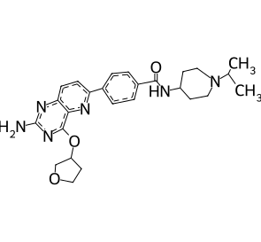 CC(C)N1CCC(NC(=O)c2ccc(-c3ccc4nc(N)nc(OC5CCOC5)c4n3)cc2)CC1